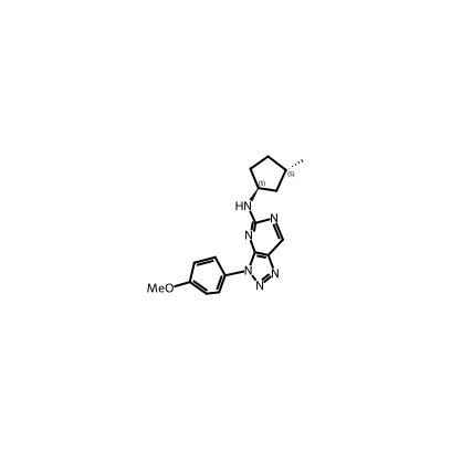 COc1ccc(-n2nnc3cnc(N[C@H]4CC[C@H](C)C4)nc32)cc1